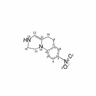 O=[N+]([O-])c1ccc2c(c1)CCC1=CNCCN12